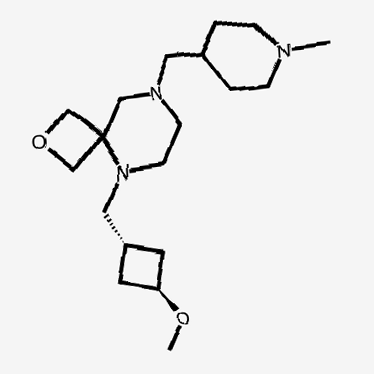 CO[C@H]1C[C@H](CN2CCN(CC3CCN(C)CC3)CC23COC3)C1